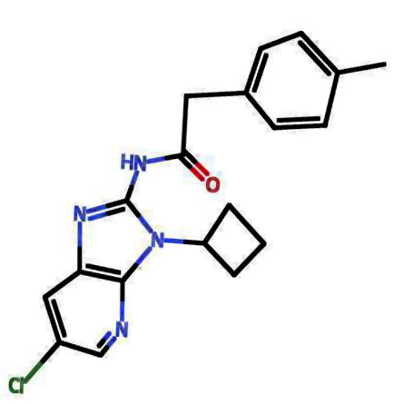 Cc1ccc(CC(=O)Nc2nc3cc(Cl)cnc3n2C2CCC2)cc1